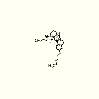 CCCCCCc1ccc2c(c1)CCN1C[C@@H]3CCCN(S(=O)(=O)CCCCl)[C@@H]3C[C@@H]21